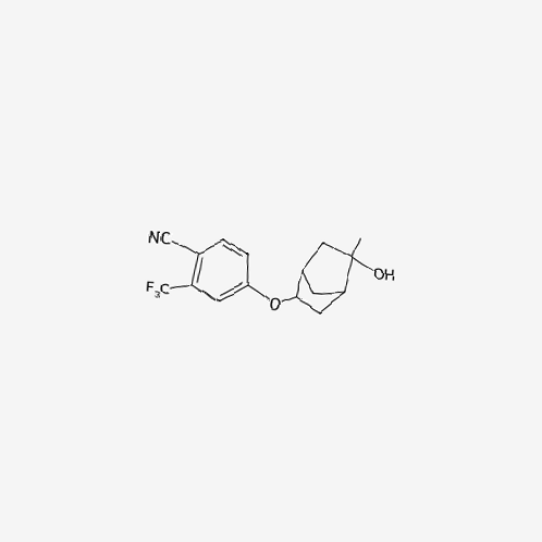 CC1(O)CC2CC1CC2Oc1ccc(C#N)c(C(F)(F)F)c1